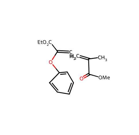 C=C(C)C(=O)OC.C=C(Oc1ccccc1)C(=O)OCC